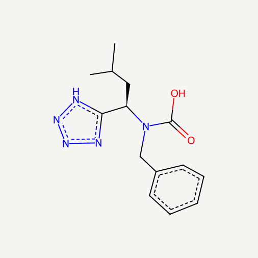 CC(C)C[C@H](c1nnn[nH]1)N(Cc1ccccc1)C(=O)O